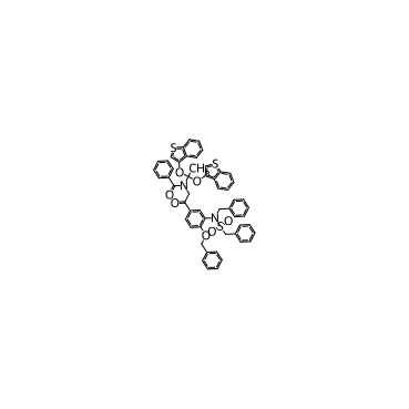 CC(Oc1csc2ccccc12)(Oc1csc2ccccc12)N(CC(=O)c1ccc(OCc2ccccc2)c(N(Cc2ccccc2)S(=O)(=O)Cc2ccccc2)c1)C(=O)c1ccccc1